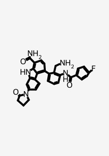 NCc1c(NC(=O)c2ccc(F)cc2)cccc1-c1ccc(C(N)=O)c2[nH]c3cc(N4CCCC4=O)ccc3c12